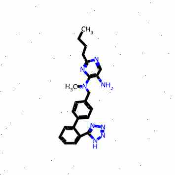 CCCCc1ncc(N)c(N(C)Cc2ccc(-c3ccccc3-c3nnn[nH]3)cc2)n1